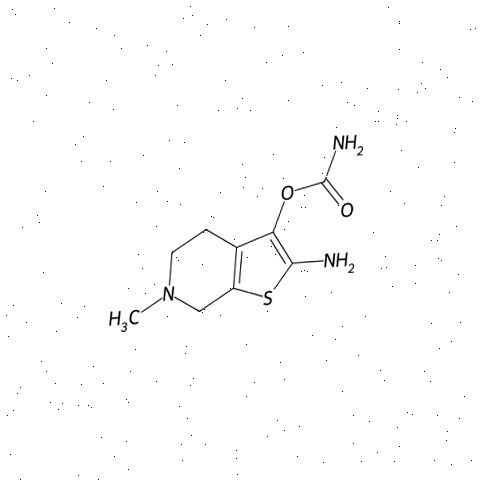 CN1CCc2c(sc(N)c2OC(N)=O)C1